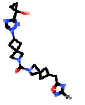 O=C(N1CC2(CC(Cc3nc(C(F)(F)F)no3)C2)C1)N1CC2(CC(n3cnc(C4(O)CC4)n3)C2)C1